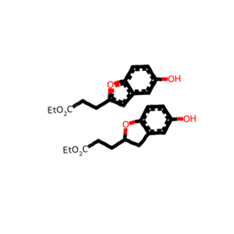 CCOC(=O)CCC1Cc2cc(O)ccc2O1.CCOC(=O)CCc1cc2cc(O)ccc2o1